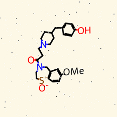 COc1ccc2c(c1)CN(C(=O)CCN1CCC(Cc3ccc(O)cc3)CC1)CC[S+]2[O-]